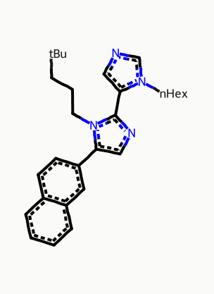 CCCCCCn1cncc1-c1ncc(-c2ccc3ccccc3c2)n1CCCC(C)(C)C